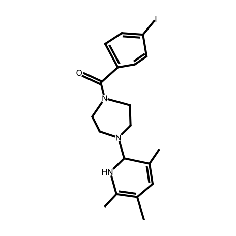 CC1=CC(C)=C(C)NC1N1CCN(C(=O)c2ccc(I)cc2)CC1